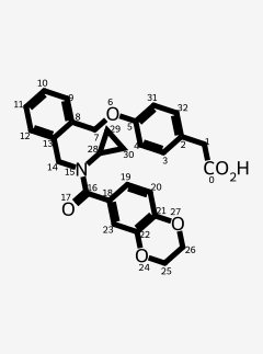 O=C(O)Cc1ccc(OCc2ccccc2CN(C(=O)c2ccc3c(c2)OCCO3)C2CC2)cc1